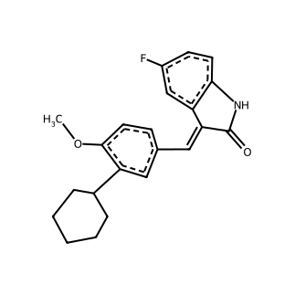 COc1ccc(/C=C2/C(=O)Nc3ccc(F)cc32)cc1C1CCCCC1